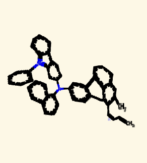 C=C/C=C\c1c(C)cc2cccc3c2c1-c1ccc(N(c2ccc4c5ccccc5n(-c5ccccc5)c4c2)c2cccc4ccccc24)cc1-3